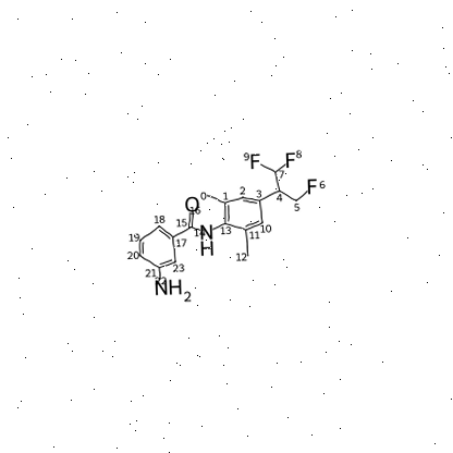 Cc1cc(C(CF)C(F)F)cc(C)c1NC(=O)c1cccc(N)c1